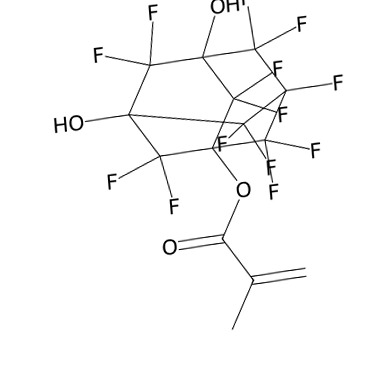 C=C(C)C(=O)OC12C(F)(F)C3(O)C(F)(F)C(O)(C(F)(F)C(F)(C3(F)F)C1(F)F)C2(F)F